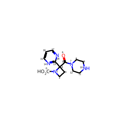 O=C(O)N1CCC1(C(=O)N1CCNCC1)c1ncccn1